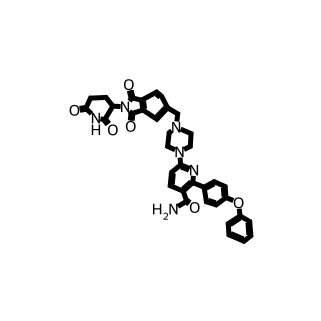 NC(=O)c1ccc(N2CCN(Cc3ccc4c(c3)C(=O)N(C3CCC(=O)NC3=O)C4=O)CC2)nc1-c1ccc(Oc2ccccc2)cc1